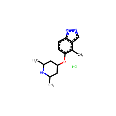 Cc1c(OC2CC(C)NC(C)C2)ccc2[nH]ncc12.Cl